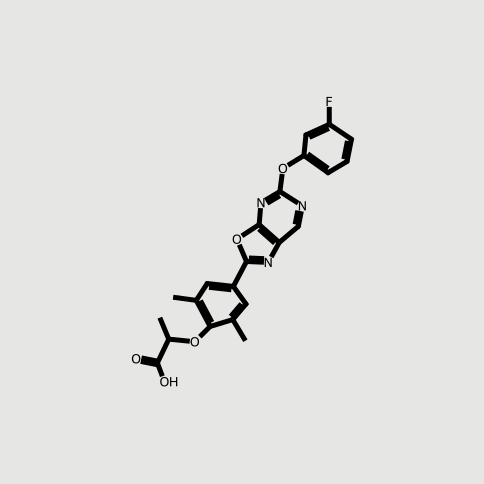 Cc1cc(-c2nc3cnc(Oc4cccc(F)c4)nc3o2)cc(C)c1OC(C)C(=O)O